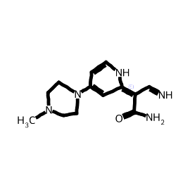 CN1CCN(C2=C/C(=C(/C=N)C(N)=O)NC=C2)CC1